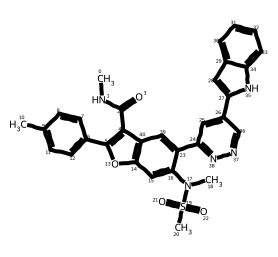 CNC(=O)c1c(-c2ccc(C)cc2)oc2cc(N(C)S(C)(=O)=O)c(-c3cc(-c4cc5ccccc5[nH]4)cnn3)cc12